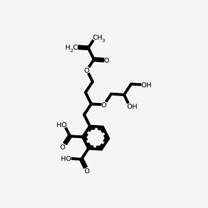 C=C(C)C(=O)OCCC(Cc1cccc(C(=O)O)c1C(=O)O)OCC(O)CO